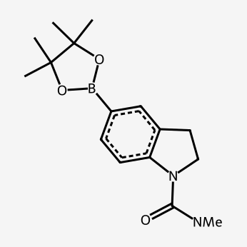 CNC(=O)N1CCc2cc(B3OC(C)(C)C(C)(C)O3)ccc21